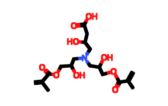 C=C(C)C(=O)OCC(O)CN(CC(O)COC(=O)C(=C)C)CC(O)CC(=O)O